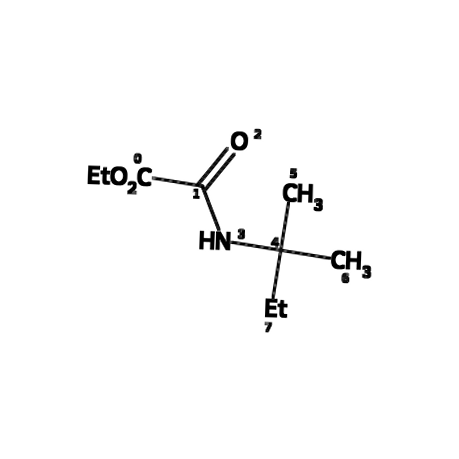 CCOC(=O)C(=O)NC(C)(C)CC